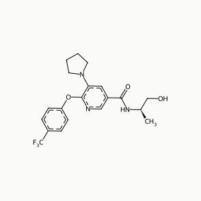 C[C@H](CO)NC(=O)c1cnc(Oc2ccc(C(F)(F)F)cc2)c(N2CCCC2)c1